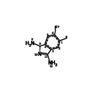 Cc1cc2c(cc1F)C(N)N=C2N